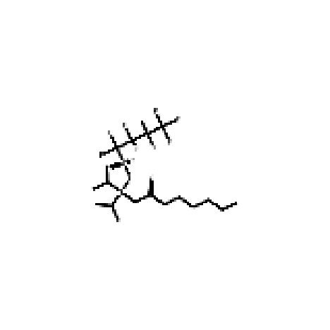 CCCCCCC(=O)CS(OS(=O)(=O)C(F)(F)C(F)(F)C(F)(F)C(F)(F)F)(C(C)C)C(C)C